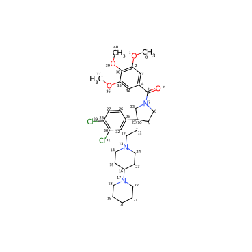 COc1cc(C(=O)N2CC[C@@](CCN3CCC(N4CCCCC4)CC3)(c3ccc(Cl)c(Cl)c3)C2)cc(OC)c1OC